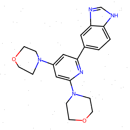 c1nc2cc(-c3cc(N4CCOCC4)cc(N4CCOCC4)n3)ccc2[nH]1